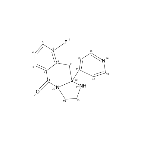 O=C1c2cccc(F)c2CC2(c3ccncc3)NCCN12